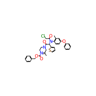 Cc1cc(Oc2ccccc2)ccc1N(C(=O)CCl)C(C(=O)N1CCN(C(=O)OCc2ccccc2)[C@H](C)C1)c1cccs1